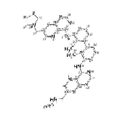 CCCNCc1cnc2c(Nc3cccc(-c4cccc(Nc5nccc6cc(CN7CCCC7)cnc56)c4C)c3C)ncnc2c1